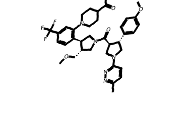 COC[C@H]1CN(C(=O)[C@@H]2CN(c3ccc(C)nn3)C[C@H]2c2ccc(OC)cc2)C[C@@H]1c1ccc(C(F)(F)F)cc1N1CCC(C(=O)O)CC1